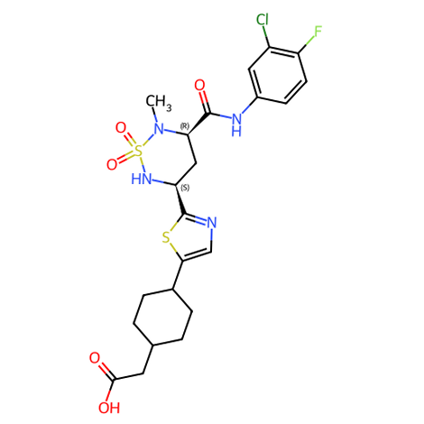 CN1[C@@H](C(=O)Nc2ccc(F)c(Cl)c2)C[C@@H](c2ncc(C3CCC(CC(=O)O)CC3)s2)NS1(=O)=O